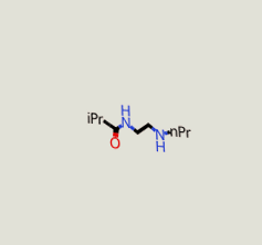 CCCNCCNC(=O)C(C)C